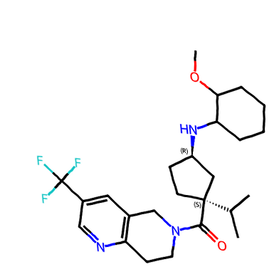 COC1CCCCC1N[C@@H]1CC[C@@](C(=O)N2CCc3ncc(C(F)(F)F)cc3C2)(C(C)C)C1